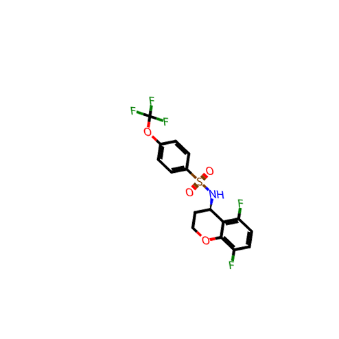 O=S(=O)(N[C@@H]1CCOc2c(F)ccc(F)c21)c1ccc(OC(F)(F)F)cc1